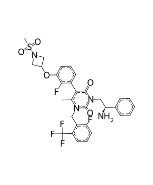 Cc1c(-c2cccc(OC3CN(S(C)(=O)=O)C3)c2F)c(=O)n(C[C@H](N)c2ccccc2)c(=O)n1Cc1c(F)cccc1C(F)(F)F